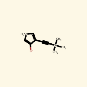 C[Si](C)(C)C#CC1=C[SeH2]C=C1Br